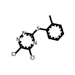 Cc1ccccc1Sc1nnc(Cl)c(Cl)n1